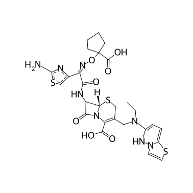 CCN(CC1=C(C(=O)O)N2C(=O)C(NC(=O)/C(=N\OC3(C(=O)O)CCCC3)c3csc(N)n3)[C@@H]2SC1)C1=CC=C2SC=CN2N1